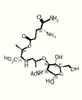 CC(=O)N[C@@H]1[C@@H](OC(C)CN[C@H](C(=O)O)[C@@H](C)OC(=O)CC[C@@H](N)C(N)=O)[C@H](O)[C@@H](CO)O[C@@H]1O